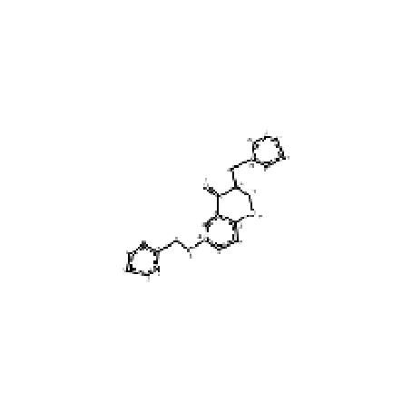 O=C1c2cc(OCc3ccccn3)ccc2OCC1Cc1ccccc1